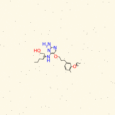 CCCC[C@@H](CCO)Nc1nc(N)ncc1OCCCc1ccc(C)c(OCC)c1